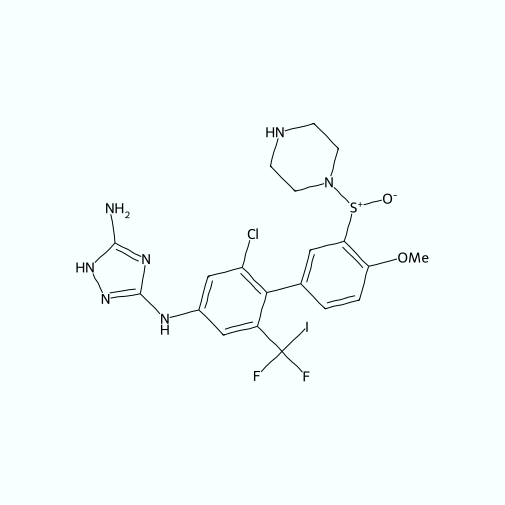 COc1ccc(-c2c(Cl)cc(Nc3n[nH]c(N)n3)cc2C(F)(F)I)cc1[S+]([O-])N1CCNCC1